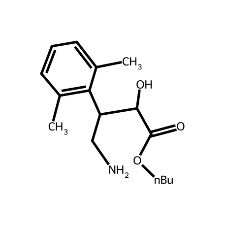 CCCCOC(=O)C(O)C(CN)c1c(C)cccc1C